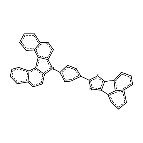 c1cc2c3c(cccc3c1)-c1sc(-c3ccc(-n4c5ccc6ccccc6c5c5c6ccccc6ccc54)cc3)nc1-2